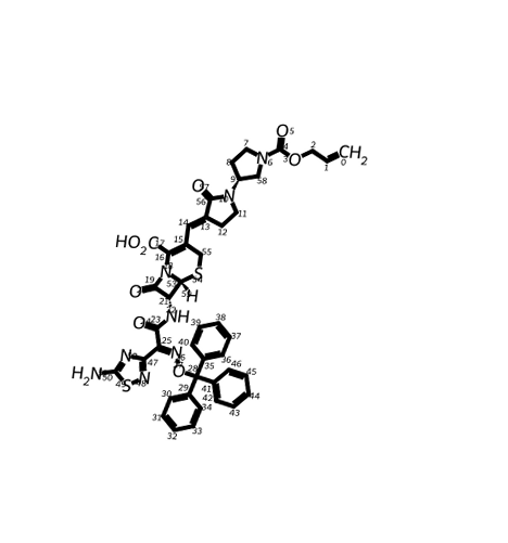 C=CCOC(=O)N1CC[C@H](N2CCC(=CC3=C(C(=O)O)N4C(=O)[C@@H](NC(=O)C(=NOC(c5ccccc5)(c5ccccc5)c5ccccc5)c5nsc(N)n5)[C@H]4SC3)C2=O)C1